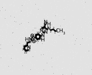 CCCCNc1nc(Nc2ccc(S(=O)(=O)NCCc3ccccn3)cc2)ncc1C#N